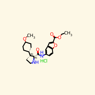 CCOC(=O)c1cc2cc(NC(=O)[C@@H]3NCC[C@@H]3[C@H]3CC[C@H](OC)CC3)ccc2o1.Cl